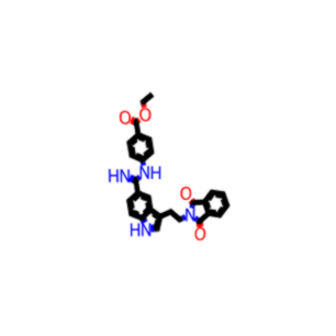 CCOC(=O)c1ccc(NC(=N)c2ccc3[nH]cc(CCN4C(=O)c5ccccc5C4=O)c3c2)cc1